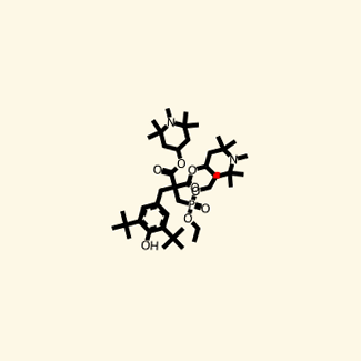 CCOP(=O)(CC(Cc1cc(C(C)(C)C)c(O)c(C(C)(C)C)c1)(C(=O)OC1CC(C)(C)N(C)C(C)(C)C1)C(=O)OC1CC(C)(C)N(C)C(C)(C)C1)OCC